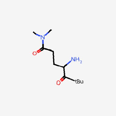 CN(C)C(=O)CCC(N)C(=O)C(C)(C)C